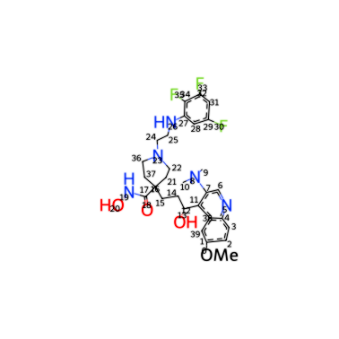 COc1ccc2ncc(N(C)C)c([C@H](O)CCC3(C(=O)NO)CCN(CCNc4cc(F)cc(F)c4F)CC3)c2c1